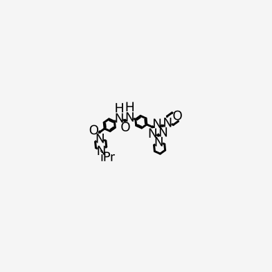 CC(C)N1CCN(C(=O)c2ccc(NC(=O)Nc3ccc(-c4nc(N5CCCCC5)nc(N5CCOCC5)n4)cc3)cc2)CC1